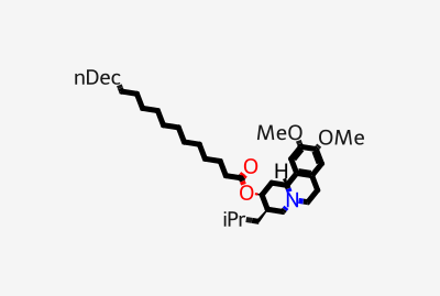 CCCCCCCCCCCCCCCCCCCCCC(=O)O[C@@H]1C[C@@H]2c3cc(OC)c(OC)cc3CCN2C[C@H]1CC(C)C